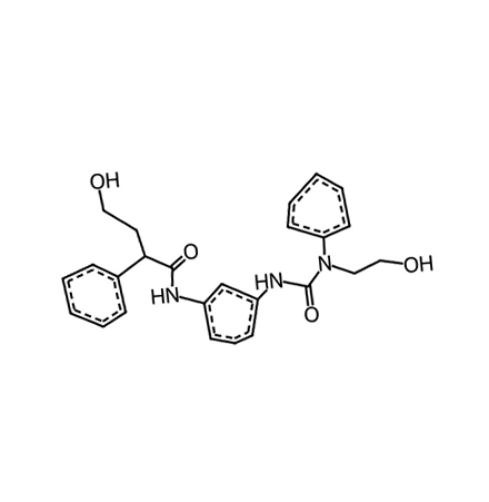 O=C(Nc1cccc(NC(=O)N(CCO)c2ccccc2)c1)C(CCO)c1ccccc1